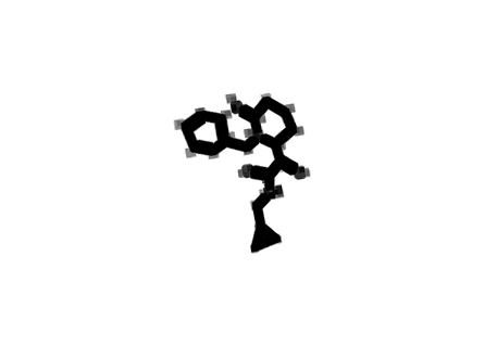 O=C(NCC1CC1)C(=O)C1CCCC(=O)N1Cc1ccccc1